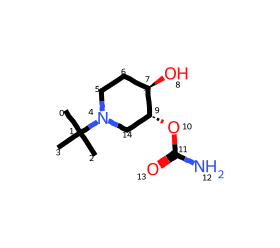 CC(C)(C)N1CC[C@@H](O)[C@H](OC(N)=O)C1